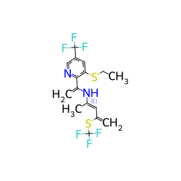 C=C(/C=C(\C)NC(=C)c1ncc(C(F)(F)F)cc1SCC)SC(F)(F)F